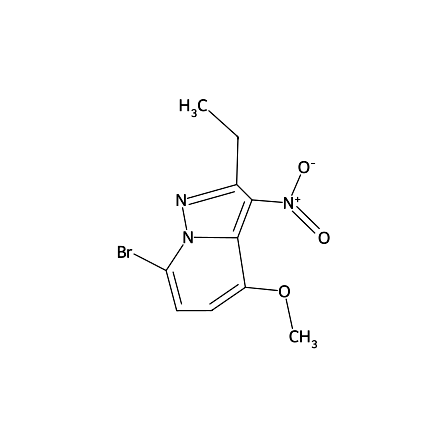 CCc1nn2c(Br)ccc(OC)c2c1[N+](=O)[O-]